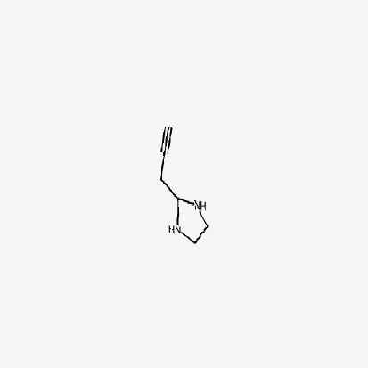 C#CCC1NCCN1